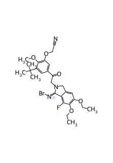 CCOc1cc2c(c(F)c1OCC)/C(=N/Br)N(CC(=O)c1cc(OCC#N)c(OC)c(C(C)(C)C)c1)C2